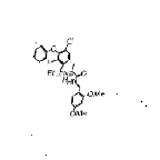 CC[C@@H](N[C@@H](C)C(=O)NCc1ccc(OC)cc1OC)c1ccc(Cl)c(Oc2ccccc2)c1F